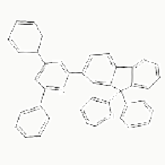 C1=CCC(c2cc(-c3ccccc3)nc(-c3ccc4c(c3)C(c3ccccc3)(c3ccccn3)c3ccccc3-4)c2)C=C1